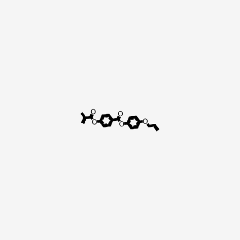 C=CCOc1ccc(OC(=O)c2ccc(OC(=O)C(=C)C)cc2)cc1